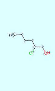 CCCCC(Cl)CO